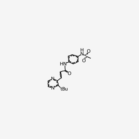 CC(C)(C)c1nccnc1/C=C/C(=O)Nc1ccc(NS(C)(=O)=O)cc1